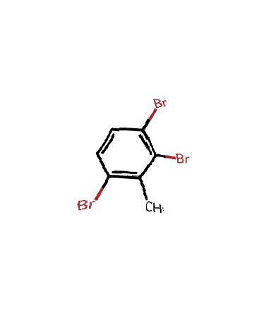 [CH]c1c(Br)ccc(Br)c1Br